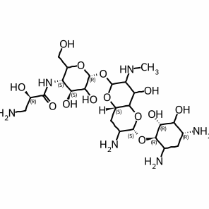 CNC1C(O[C@H]2OC(CO)[C@@H](NC(=O)[C@H](O)CN)[C@H](O)C2O)O[C@H]2CC(N)[C@@H](O[C@@H]3C(N)C[C@@H](N)C(O)[C@H]3O)OC2C1O